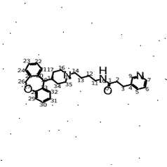 O=C(CCc1cccnc1)NCCCCN1CCC(C2c3ccccc3COc3ccccc32)CC1